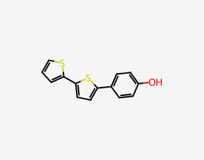 Oc1ccc(-c2ccc(-c3cccs3)s2)cc1